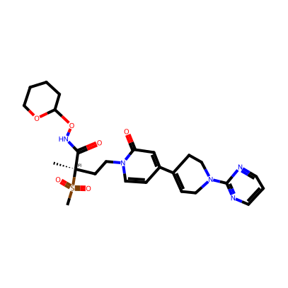 C[C@@](CCn1ccc(C2=CCN(c3ncccn3)CC2)cc1=O)(C(=O)NOC1CCCCO1)S(C)(=O)=O